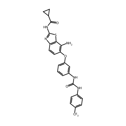 Nc1c(Oc2cccc(NC(=O)Nc3ccc(C(F)(F)F)cc3)c2)ccc2nc(NC(=O)C3CC3)sc12